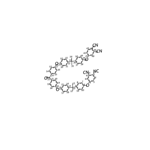 [C-]#[N+]c1ccc(Oc2ccc(C(C)(C)c3ccc(Oc4ccc(C(=O)c5ccc(Oc6ccc(C(C)(C)c7ccc(Oc8ccc(C#N)c(C#N)c8)cc7)cc6)cc5)cc4)cc3)cc2)cc1[N+]#[C-]